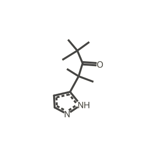 CC(C)(C)C(=O)C(C)(C)c1ccn[nH]1